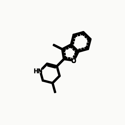 Cc1c(C2=CNCC(C)C2)oc2ccccc12